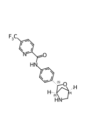 O=C(Nc1ccc([C@@H]2O[C@H]3CN[C@@H]2C3)cc1)c1ccc(C(F)(F)F)cn1